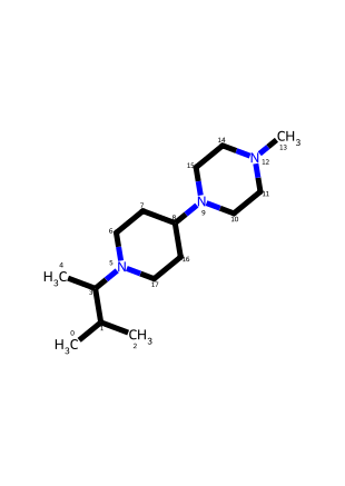 CC(C)C(C)N1CCC(N2CCN(C)CC2)CC1